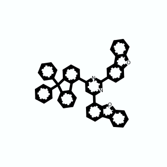 c1ccc(C2(c3ccccc3)c3ccccc3-c3c(-c4cc(-c5cccc6c5oc5ccccc56)nc(-c5ccc6oc7ccccc7c6c5)n4)cccc32)cc1